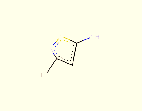 CC(C)c1cc(N)sn1